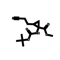 COC(=O)C1(NC(=O)OC(C)(C)C)CC1CCC#N